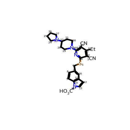 CCc1c(C#N)c(SCc2ccc3c(ccn3C(=O)O)c2)nc(N2CCC(N3CCCC3)CC2)c1C#N